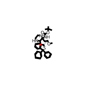 COCCC1(NC(=O)OC(C)(C)C)NCCNC1C[C@H](C)SC(c1ccccc1)(c1ccccc1)c1ccccc1